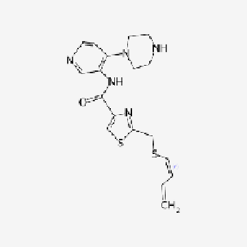 C=C/C=C\SCc1nc(C(=O)Nc2cnccc2N2CCNCC2)cs1